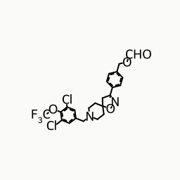 O=COCc1ccc(C2=NOC3(CCN(Cc4cc(Cl)c(OC(F)(F)F)c(Cl)c4)CC3)C2)cc1